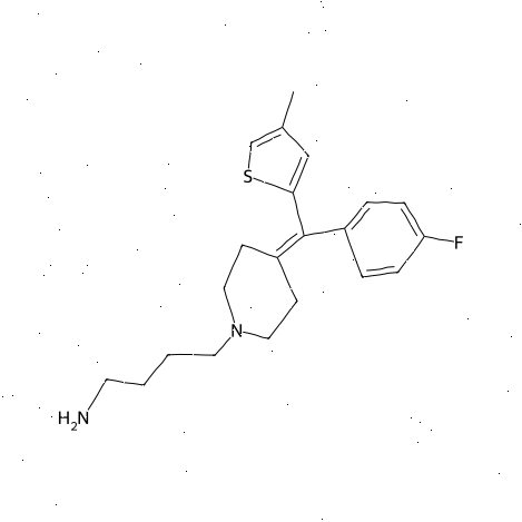 Cc1csc(C(=C2CCN(CCCCN)CC2)c2ccc(F)cc2)c1